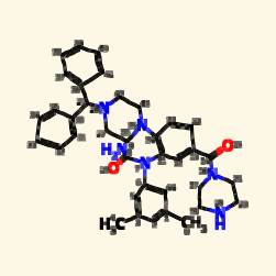 Cc1cc(C)cc(N(C(N)=O)c2cc(C(=O)N3CCNCC3)ccc2N2CCN(C(c3ccccc3)c3ccccc3)CC2)c1